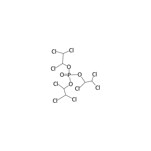 O=P(OC(Cl)C(Cl)Cl)(OC(Cl)C(Cl)Cl)OC(Cl)C(Cl)Cl